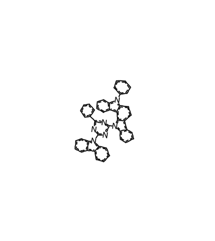 c1ccc(-c2nc(-n3c4ccccc4c4ccccc43)nc(-n3c4ccccc4c4ccc5c(c6ccccc6n5-c5ccccc5)c43)n2)cc1